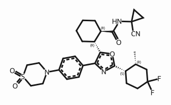 C[C@@H]1CC(F)(F)CC[C@@H]1c1nc(-c2ccc(N3CCS(=O)(=O)CC3)cc2)c([C@@H]2CCCC[C@H]2C(=O)NC2(C#N)CC2)o1